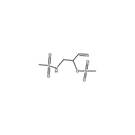 CS(=O)(=O)NCC([C]=S)OS(C)(=O)=O